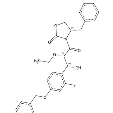 CCO[C@H](C(=O)N1C(=O)OC[C@@H]1Cc1ccccc1)[C@H](O)c1ccc(OCc2ccccc2)cc1F